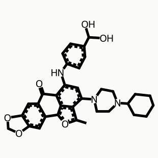 Cc1oc2c3c(c(Nc4ccc(C(O)O)cc4)cc(N4CCN(C5CCCCC5)CC4)c13)C(=O)c1cc3c(cc1-2)OCO3